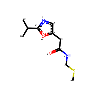 CSCNC(=O)Cc1cnc(C(C)C)o1